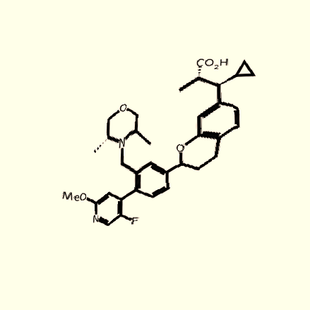 COc1cc(-c2ccc(C3CCc4ccc([C@H](C5CC5)[C@H](C)C(=O)O)cc4O3)cc2CN2C(C)COC[C@H]2C)c(F)cn1